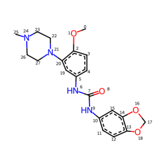 COc1ccc(NC(=O)Nc2ccc3c(c2)OCO3)cc1N1CCN(C)CC1